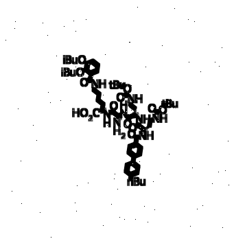 CCCCc1ccc(-c2ccc(C(=O)N[C@@H](CCNC(=O)OC(C)(C)C)C(=O)N[C@@H](CCNC(=O)OC(C)(C)C)C(=O)N[C@@H](N)C(=O)N[C@@H](CCCCNC(=O)c3cccc(OCC(C)C)c3OCC(C)C)C(=O)O)cc2)cc1